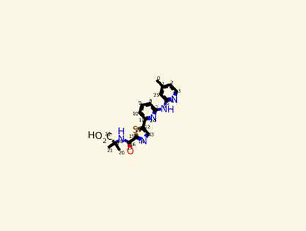 Cc1ccnc(Nc2cccc(-c3cnc(C(=O)NC(C)(C)C(=O)O)s3)n2)c1